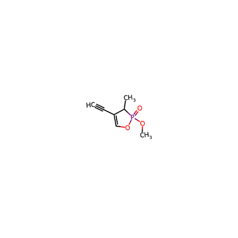 C#CC1=COP(=O)(OC)C1C